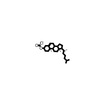 CC(C)CCC[C@@H](C)C1CCC2C3CC=C4CC(OC(=O)Cl)CC[C@]4(C)C3CC[C@@]21C